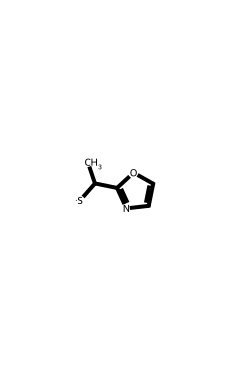 CC([S])c1ncco1